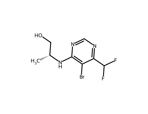 C[C@H](CO)Nc1ncnc(C(F)F)c1Br